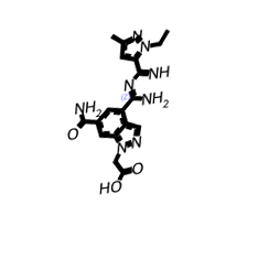 CCn1nc(C)cc1C(=N)/N=C(\N)c1cc(C(N)=O)cc2c1cnn2CC(=O)O